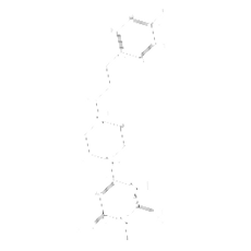 Cn1c(=O)cc(N2CCN(CCCc3ccc(Cl)cc3)CC2)[nH]c1=O